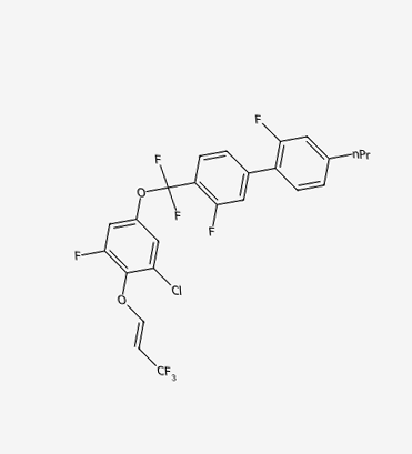 CCCc1ccc(-c2ccc(C(F)(F)Oc3cc(F)c(O/C=C/C(F)(F)F)c(Cl)c3)c(F)c2)c(F)c1